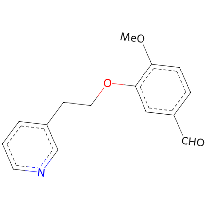 COc1ccc(C=O)cc1OCCc1cccnc1